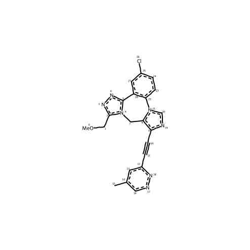 COCc1nnc2n1Cc1c(C#Cc3cc(C)cnn3)ncn1-c1ccc(Cl)cc1-2